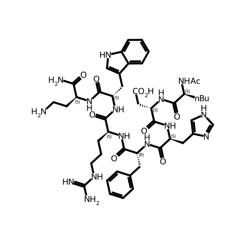 CCCC[C@H](NC(C)=O)C(=O)N[C@@H](CC(=O)O)C(=O)N[C@@H](Cc1c[nH]cn1)C(=O)N[C@H](Cc1ccccc1)C(=O)N[C@@H](CCCNC(=N)N)C(=O)N[C@@H](Cc1c[nH]c2ccccc12)C(=O)N[C@@H](CCN)C(N)=O